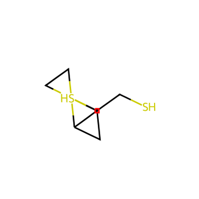 SCC[SH]12(CC1)C1CC12